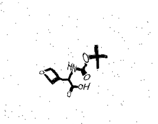 CC(C)(C)OC(=O)NC(C(=O)O)C1COC1